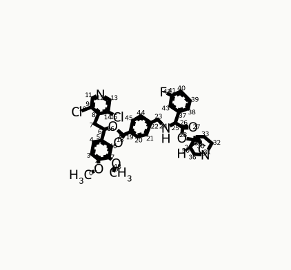 COc1ccc(C(Cc2c(Cl)cncc2Cl)OC(=O)c2ccc(CNC(C(=O)O[C@H]3CN4CCC3CC4)c3cccc(F)c3)cc2)cc1OC